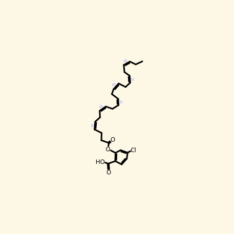 CC/C=C\C/C=C\C/C=C\C/C=C\C/C=C\C/C=C\CCC(=O)Oc1cc(Cl)ccc1C(=O)O